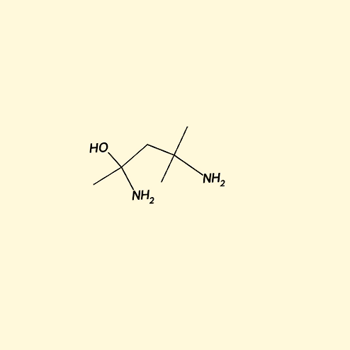 CC(C)(N)CC(C)(N)O